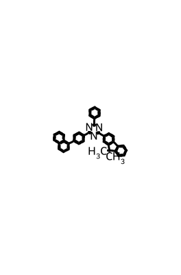 CC1(C)c2ccccc2-c2ccc(-c3nc(-c4ccccc4)nc(-c4ccc(-c5cccc6ccccc56)cc4)n3)cc21